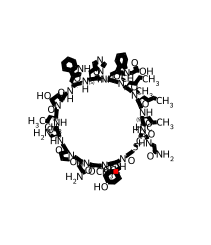 CCCC[C@H]1C(=O)N(C)[C@@H](CCCC)C(=O)N[C@@H](CC(C)C)C(=O)N[C@H](C(=O)NCC(N)=O)CSCC(=O)N[C@@H](Cc2ccc(O)cc2)C(=O)N(C)[C@@H](C)C(=O)N[C@@H](CC(N)=O)C(=O)N2CCCC2C(=O)N[C@@H](CN)C(=O)N[C@@H](CC(C)C)C(=O)N2C[C@H](O)C[C@H]2C(=O)N[C@@H](Cc2c[nH]c3ccccc23)C(=O)N[C@@H](Cc2cnc[nH]2)C(=O)N[C@@H](Cc2cn(CC(=O)O)c3ccccc23)C(=O)N1C